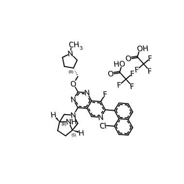 CN1CC[C@@H](COc2nc(N3C[C@H]4CC[C@@H](C3)N4)c3cnc(-c4cccc5cccc(Cl)c45)c(F)c3n2)C1.O=C(O)C(F)(F)F.O=C(O)C(F)(F)F